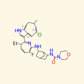 CCC1C=CC(F)=C(NC2CC3CC(NC(=O)N4CCOCC4)C2C3)N=C1c1c[nH]c2/c1=C\C(Cl)=C/C(C)C\C=2